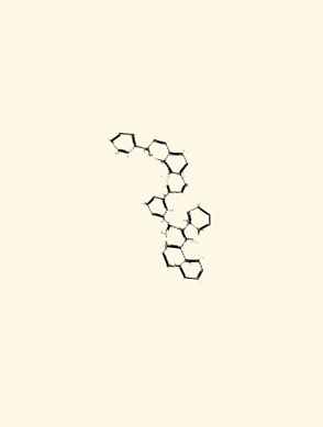 c1ccc(-c2ccc3ccc4ccc(-c5cccc(-c6nc7ccc8ccccc8c7c7oc8ccccc8c67)c5)nc4c3n2)cc1